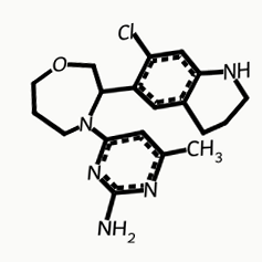 Cc1cc(N2CCCOCC2c2cc3c(cc2Cl)NCCC3)nc(N)n1